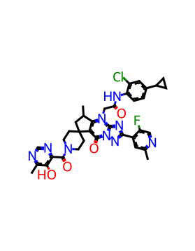 Cc1cc(-c2nc3n(CC(=O)Nc4ccc(C5CC5)cc4Cl)c4c(c(=O)n3n2)C2(CCN(C(=O)c3ncnc(C)c3O)CC2)CC4C)c(F)cn1